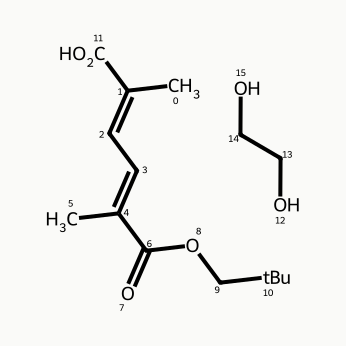 CC(=CC=C(C)C(=O)OCC(C)(C)C)C(=O)O.OCCO